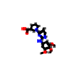 COc1cc(Nc2ncc(C)c(N3CCCC(C(=O)O)C3)n2)cc(OC)c1OC